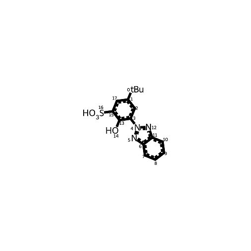 CC(C)(C)c1cc(-n2nc3ccccc3n2)c(O)c(S(=O)(=O)O)c1